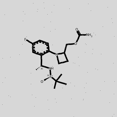 C[C@@H](N[S@+]([O-])C(C)(C)C)c1cc(F)ccc1N1CCC1COC(N)=O